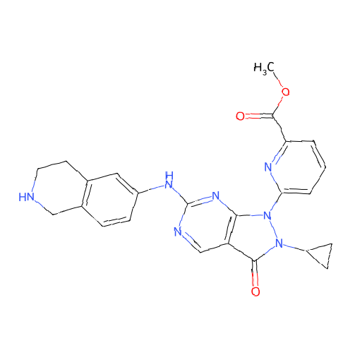 COC(=O)c1cccc(-n2c3nc(Nc4ccc5c(c4)CCNC5)ncc3c(=O)n2C2CC2)n1